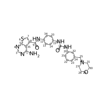 Nc1ncnc2scc(C(=O)Nc3ccc(NC(=O)Nc4cccc(CN5CCOCC5)c4)cc3)c12